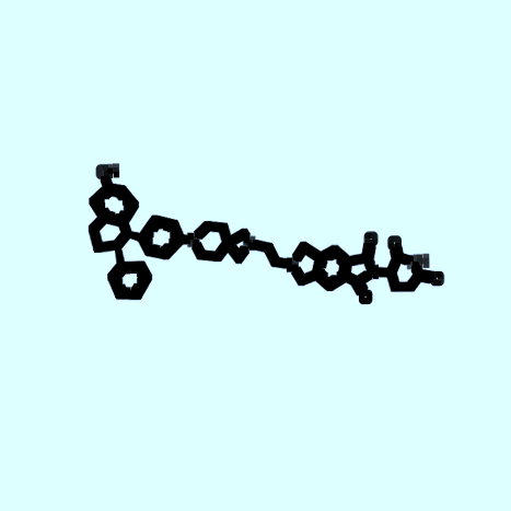 O=C1CCC(N2C(=O)c3cc4c(cc3C2=O)CN(CCN2CC3(CCN(c5ccc([C@@H]6c7ccc(O)cc7CC[C@@H]6c6ccccc6)cc5)CC3)C2)C4)C(=O)N1